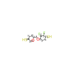 FC1C(S)CCC(OCC2CCC(S)CO2)C1F